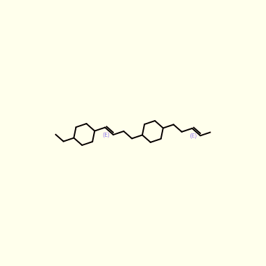 C/C=C/CCC1CCC(CC/C=C/C2CCC(CC)CC2)CC1